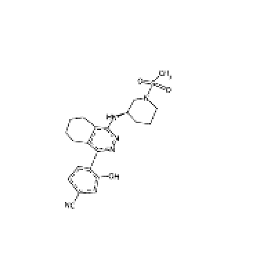 CS(=O)(=O)N1CCC[C@@H](Nc2nnc(-c3ccc(C#N)cc3O)c3c2CCCC3)C1